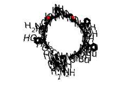 CCCC[C@H]1C(=O)N(C)[C@@H](CCCC)C(=O)N[C@@H](CCCNC(=N)N)C(=O)NC(C(=O)N[C@@H](CO)C(N)=O)CSCC(=O)N[C@@H](Cc2ccc(O)cc2)C(=O)N(C)[C@@H](C)C(=O)N[C@@H](CC(N)=O)C(=O)N2CCC[C@H]2C(=O)N[C@@H](Cc2cnc[nH]2)C(=O)N[C@@H](CO)C(=O)N2CCC[C@H]2C(=O)N[C@@H](Cc2c[nH]c3ccccc23)C(=O)N[C@@H](CO)C(=O)N[C@@H](Cc2c[nH]c3ccccc23)C(=O)N1C